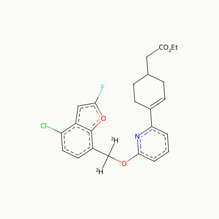 [2H]C([2H])(Oc1cccc(C2=CCC(CC(=O)OCC)CC2)n1)c1ccc(Cl)c2cc(F)oc12